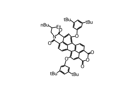 CCCCC(CC)CN1C(=O)c2ccc3c4c(Oc5cc(C(C)(C)C)cc(C(C)(C)C)c5)cc5c6c(ccc(c7c(Oc8cc(C(C)(C)C)cc(C(C)(C)C)c8)cc(c2c37)C1=O)c64)C(=O)OC5=O